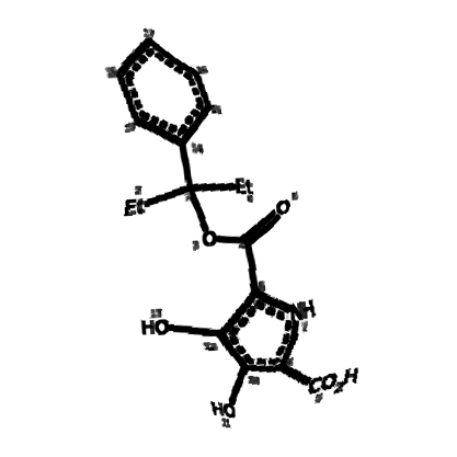 CCC(CC)(OC(=O)c1[nH]c(C(=O)O)c(O)c1O)c1ccccc1